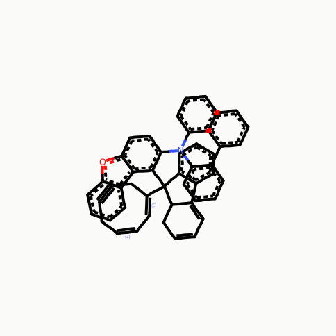 C1#CC/C(C2(c3c(N(c4ccccc4)c4ccccc4-c4ccccc4)ccc4oc5ccccc5c34)c3ccccc3C3=CC=CCC32)=C\C=C/C1